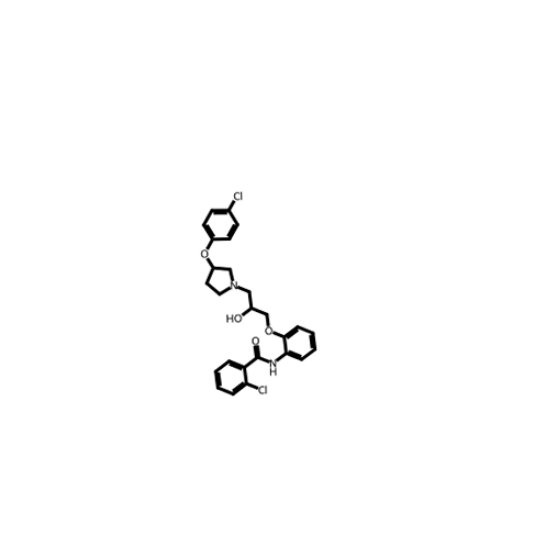 O=C(Nc1ccccc1OCC(O)CN1CCC(Oc2ccc(Cl)cc2)C1)c1ccccc1Cl